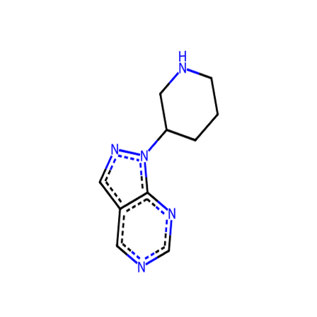 c1ncc2cnn(C3CCCNC3)c2n1